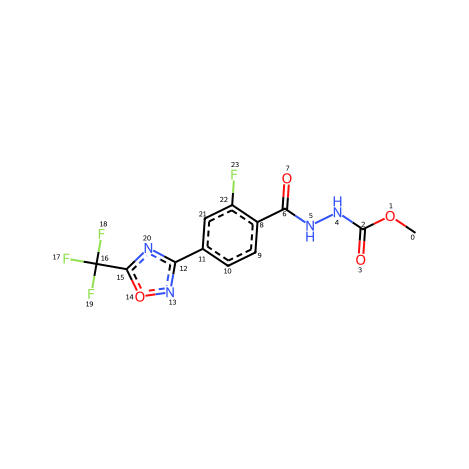 COC(=O)NNC(=O)c1ccc(-c2noc(C(F)(F)F)n2)cc1F